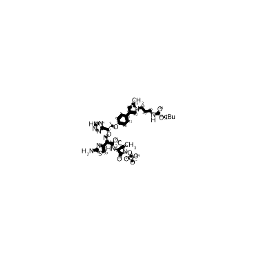 C[n+]1cc(-c2ccc(OC[C@H](O/N=C(\C(=O)N[C@@H]3C(=O)N(OS(=O)(=O)[O-])C3(C)C)c3csc(N)n3)c3nn[nH]n3)cc2)cn1CCCNC(=O)OC(C)(C)C